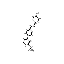 COc1cccc(-c2ccc(CSC3CCC(N)CC3)cc2)c1